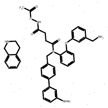 CC(=O)Nc1cccc(-c2ccc(CN(C(=O)CCC(=O)NOC(=O)C(F)(F)F)c3ccccc3Oc3cccc(CN)c3)cc2)c1.c1ccc2c(c1)CCNC2